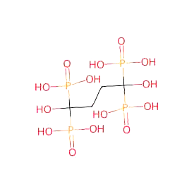 O=P(O)(O)C(O)(CCC(O)(P(=O)(O)O)P(=O)(O)O)P(=O)(O)O